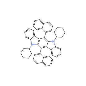 c1ccc2c(-c3c4c5ccccc5n(C5CCCCC5)c4c(-c4cccc5ccccc45)c4c5ccccc5n(C5CCCCC5)c34)cccc2c1